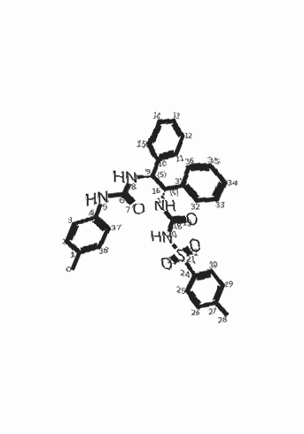 Cc1ccc(NC(=O)N[C@@H](c2ccccc2)[C@@H](NC(=O)NS(=O)(=O)c2ccc(C)cc2)c2ccccc2)cc1